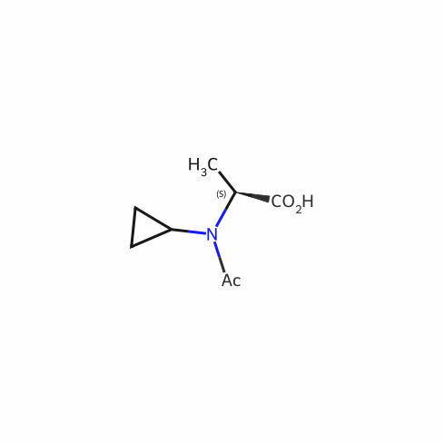 CC(=O)N(C1CC1)[C@@H](C)C(=O)O